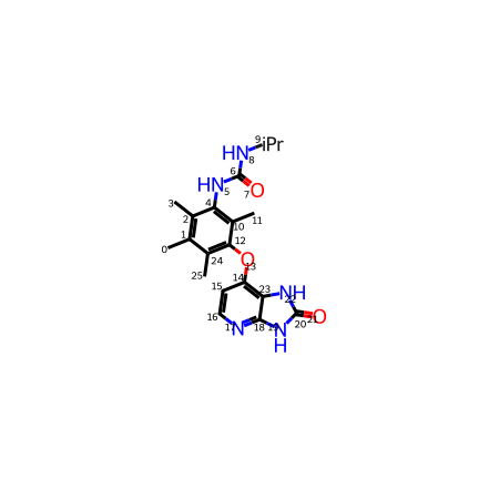 Cc1c(C)c(NC(=O)NC(C)C)c(C)c(Oc2ccnc3[nH]c(=O)[nH]c23)c1C